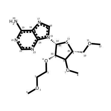 COCCO[C@H]1C(OC)[C@@H](COC)S[C@H]1n1cnc2c(N)ncnc21